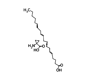 CCCCCC=CCC=CCC=CCC=CCCCC(=O)O.NC1(C(=O)O)CC1